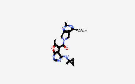 COc1nc(C)nc2c1CN(C(=O)c1c(C)oc3ncnc(NC4(C)CC4)c13)C2